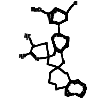 COc1cc(Cl)cc(-c2ccc3c(c2)C2(CC4(CCCc5ccccc5C4)O3)N=C(N)N(C)O2)c1